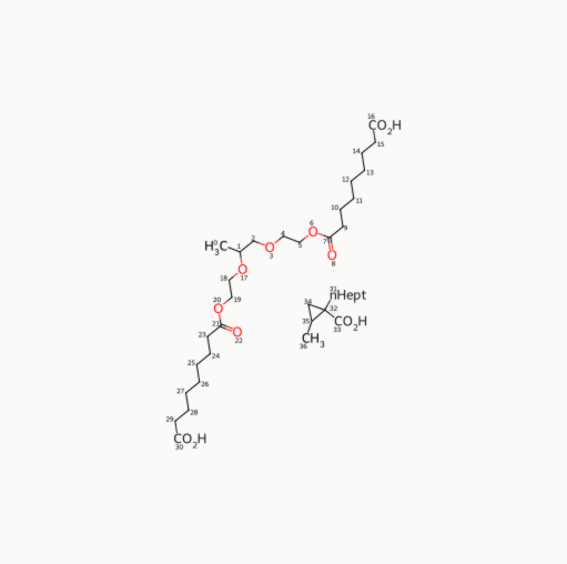 CC(COCCOC(=O)CCCCCCCC(=O)O)OCCOC(=O)CCCCCCCC(=O)O.CCCCCCCC1(C(=O)O)CC1C